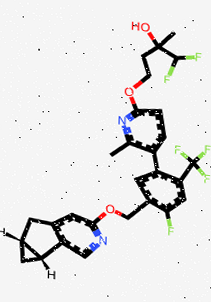 Cc1nc(OCCC(C)(O)C(F)F)ccc1-c1cc(COc2cc3c(cn2)[C@@H]2C[C@@H]2C3)c(F)cc1C(F)(F)F